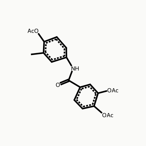 CC(=O)Oc1ccc(NC(=O)c2ccc(OC(C)=O)c(OC(C)=O)c2)cc1C